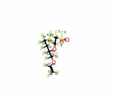 O=S(=O)(F)C(F)(F)C(F)(F)OC(F)(C(F)(F)OC(F)=C(F)F)C(F)(F)C(F)(F)SF